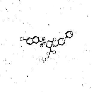 CCOC(=O)C1CN(S(=O)(=O)c2ccc3cc(Cl)ccc3c2)CC(=O)N1CC1CCN(c2ccncc2)CC1